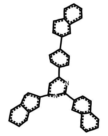 c1ccc2cc(-c3ccc(-c4cc(-c5ccc6ccccc6c5)nc(-c5ccc6ccccc6c5)n4)cc3)ccc2c1